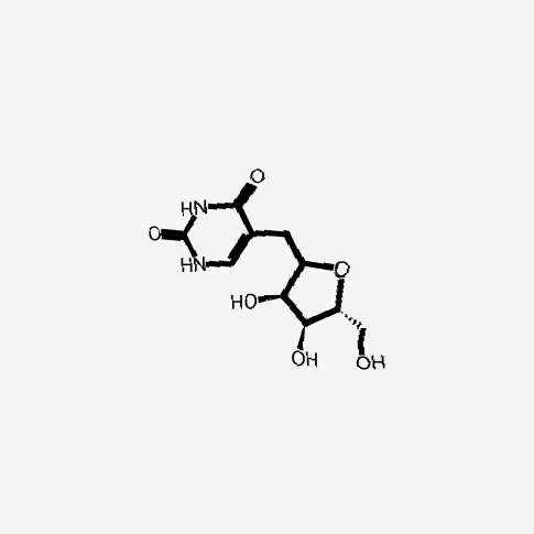 O=c1[nH]cc(CC2O[C@H](CO)[C@@H](O)[C@H]2O)c(=O)[nH]1